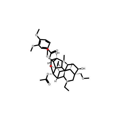 CCN1C[C@]2(COC)[C@H](O)C[C@H](OC)[C@]34C1[C@H]([C@H](OC)[C@H]23)[C@@]1(OC(C)=O)C[C@H](OC)[C@@]2(O)C[C@@H]4[C@@H]1[C@H]2OC(=O)c1ccc(OC)c(OC)c1